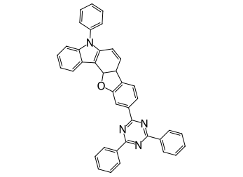 C1=CC2c3ccc(-c4nc(-c5ccccc5)nc(-c5ccccc5)n4)cc3OC2c2c1n(-c1ccccc1)c1ccccc21